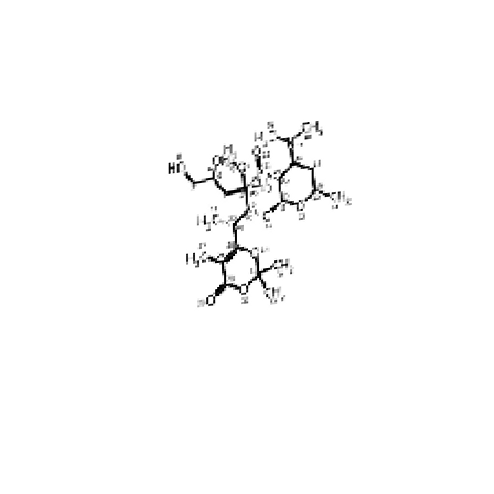 CO[C@](C)(CC(O)CO)[C@H](O[C@@H]1O[C@H](C)CC(N(C)C)[C@H]1P=O)[C@@H](C)C1=C(C)C(=O)OC(C)(C)O1